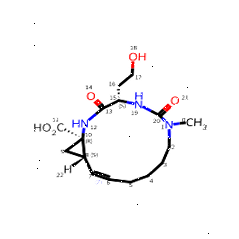 CN1CCCC/C=C\[C@@H]2C[C@@]2(C(=O)O)NC(=O)[C@H](CCO)NC1=O